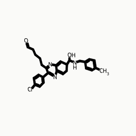 Cc1ccc(CNC(O)C2C=c3nc(CCCCC=O)c(-c4ccc(Cl)cc4)nc3=CC2)cc1